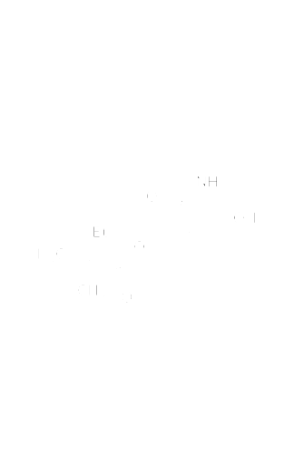 CCC(C)(C)C(=O)OCC(CO)C(=O)NI